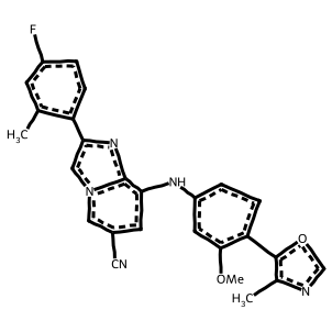 COc1cc(Nc2cc(C#N)cn3cc(-c4ccc(F)cc4C)nc23)ccc1-c1ocnc1C